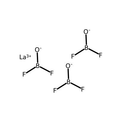 [La+3].[O-]B(F)F.[O-]B(F)F.[O-]B(F)F